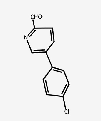 O=[C]c1ccc(-c2ccc(Cl)cc2)cn1